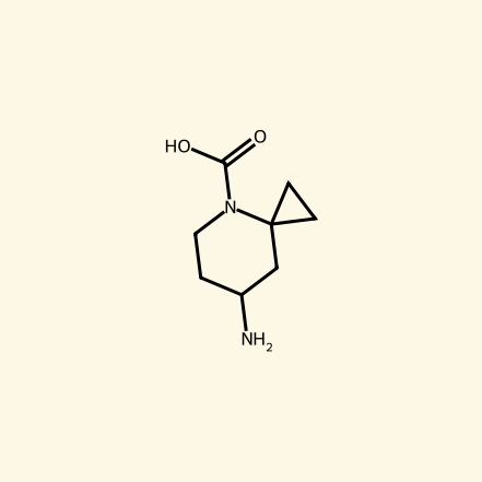 NC1CCN(C(=O)O)C2(CC2)C1